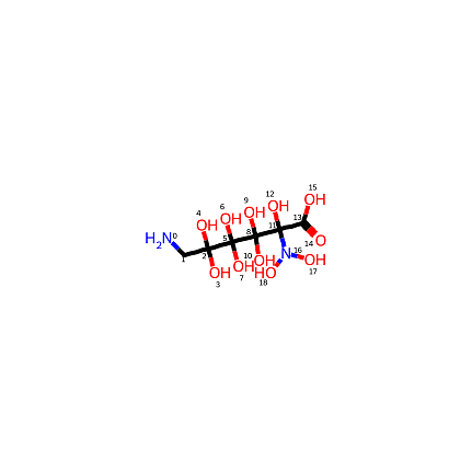 NCC(O)(O)C(O)(O)C(O)(O)C(O)(C(=O)O)N(O)O